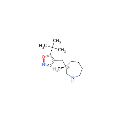 CC(C)(C)c1oncc1C[C@]1(C)CCCCNC1